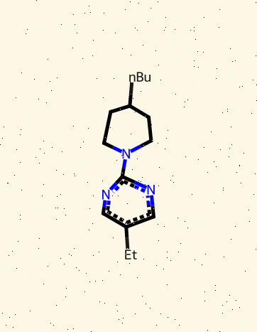 CCCCC1CCN(c2ncc(CC)cn2)CC1